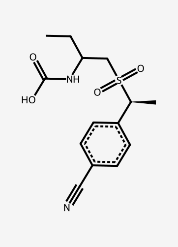 CCC(CS(=O)(=O)[C@@H](C)c1ccc(C#N)cc1)NC(=O)O